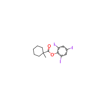 CC1(C(=O)Oc2c(I)cc(I)cc2I)CCCCC1